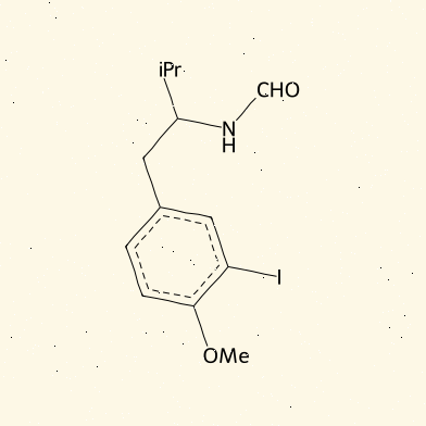 COc1ccc(CC(NC=O)C(C)C)cc1I